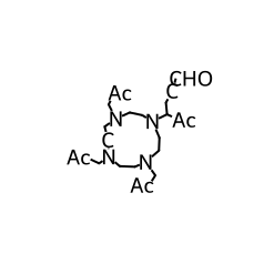 CC(=O)CN1CCN(CC(C)=O)CCN(C(CCC=O)C(C)=O)CCN(CC(C)=O)CC1